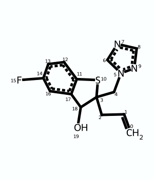 C=CCC1(Cn2cncn2)Sc2ccc(F)cc2C1O